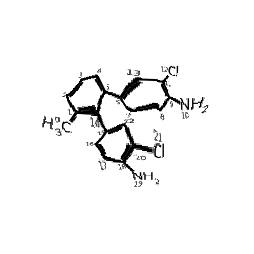 Cc1cccc(-c2ccc(N)c(Cl)c2)c1-c1ccc(N)c(Cl)c1